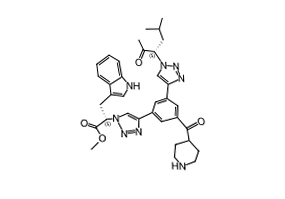 COC(=O)[C@H](Cc1c[nH]c2ccccc12)n1cc(-c2cc(C(=O)C3CCNCC3)cc(-c3cn([C@@H](CC(C)C)C(C)=O)nn3)c2)nn1